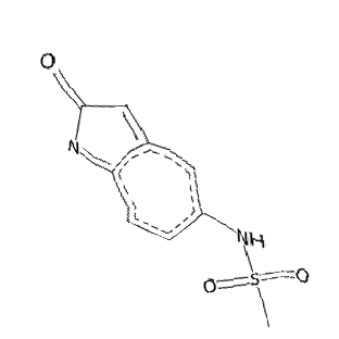 CS(=O)(=O)Nc1ccc2c(c1)=CC(=O)N=2